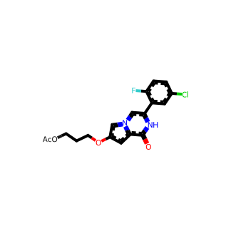 CC(=O)OCCCOc1cc2c(=O)[nH]c(-c3cc(Cl)ccc3F)cn2c1